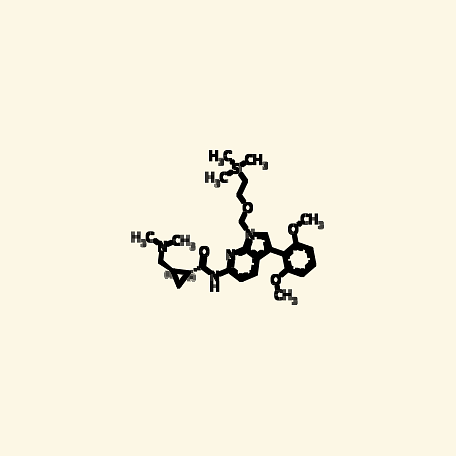 COc1cccc(OC)c1-c1cn(COCC[Si](C)(C)C)c2nc(NC(=O)[C@@H]3C[C@H]3CN(C)C)ccc12